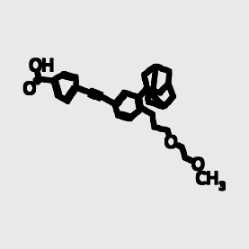 COCCOCCCc1ccc(C#Cc2ccc(C(=O)O)cc2)cc1C12CC3CC(CC(C3)C1)C2